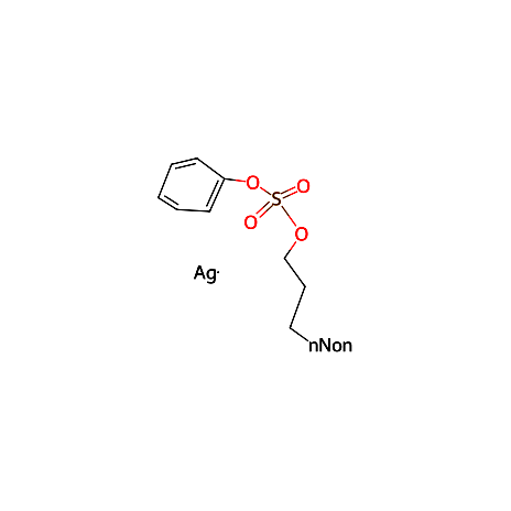 CCCCCCCCCCCCOS(=O)(=O)Oc1ccccc1.[Ag]